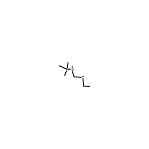 CCO[CH][SiH2][N+](C)(C)C